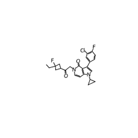 CCC1(F)CC(C(=O)Cn2ccc3c(c(-c4ccc(F)c(Cl)c4)cn3C3CC3)c2=O)C1